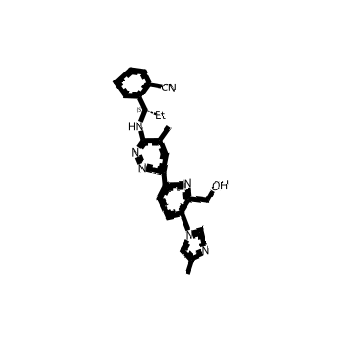 CC[C@H](Nc1nnc(-c2ccc(-n3cnc(C)c3)c(CO)n2)cc1C)c1ccccc1C#N